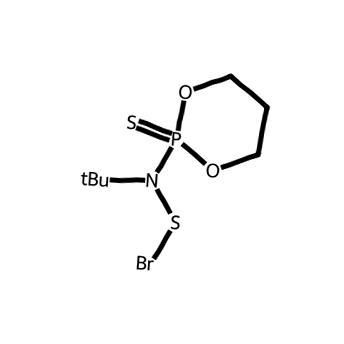 CC(C)(C)N(SBr)P1(=S)OCCCO1